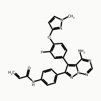 C=CC(=O)Nc1ccc(-c2nn3ncnc(N)c3c2-c2ccc(Oc3ccn(C)n3)c(F)c2)cc1